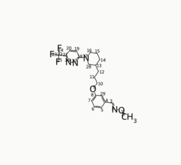 CON=Cc1cccc(OCCCC2CCCN(c3ccc(C(F)(F)F)nn3)C2)c1